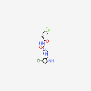 CNc1ccc(Cl)cc1CN1CCN(C(=O)CNC(=O)C2CC23CCC(F)(F)CC3)CC1